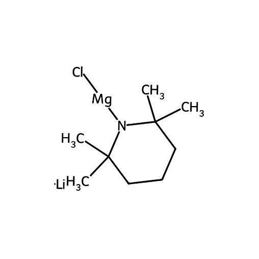 CC1(C)CCCC(C)(C)[N]1[Mg][Cl].[Li]